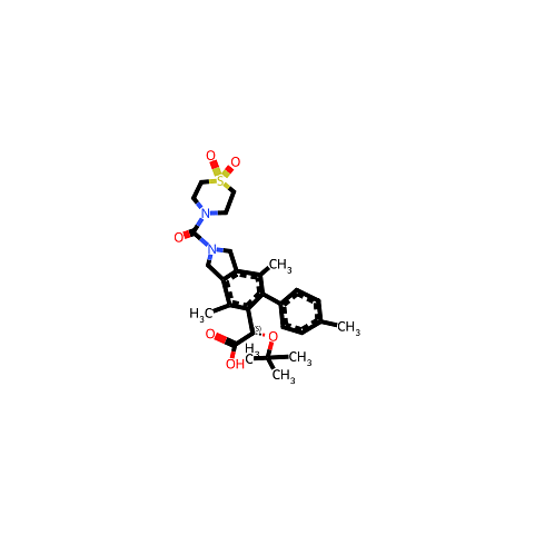 Cc1ccc(-c2c(C)c3c(c(C)c2[C@H](OC(C)(C)C)C(=O)O)CN(C(=O)N2CCS(=O)(=O)CC2)C3)cc1